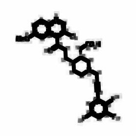 COc1ccc2ncc(Cl)c(C(=O)CC[C@@H]3CCN(CC#Cc4cc(F)cc(F)c4F)C[C@H]3CC(=O)O)c2c1